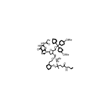 C=CCNC(=O)CCC(C)(C)SSc1ccccc1CCOP(OC1CC(n2cnc3c(=O)[nH]c(NC(=O)C(C)C)nc32)OC1COC(c1ccccc1)(c1ccc(OC)cc1)c1ccc(OC)cc1)N(C(C)C)C(C)C